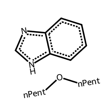 CCCCCOCCCCC.c1ccc2[nH]cnc2c1